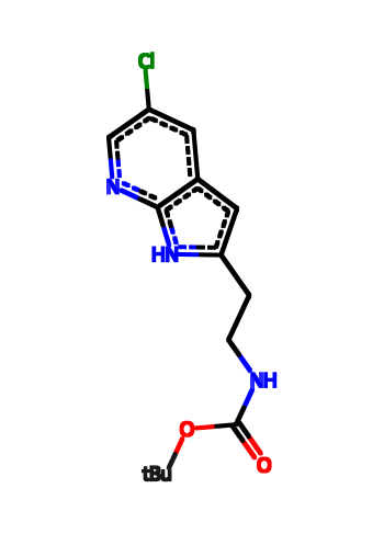 CC(C)(C)OC(=O)NCCc1cc2cc(Cl)cnc2[nH]1